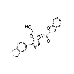 O=C(Nc1csc(-c2ccc3c(c2)CCC3)c1OCO)c1cc2ccccc2o1